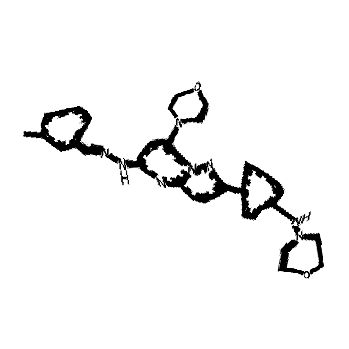 Cc1cccc(/C=N/Nc2cc(N3CCOCC3)n3nc(-c4ccc(NN5CCOCC5)cc4)cc3n2)c1